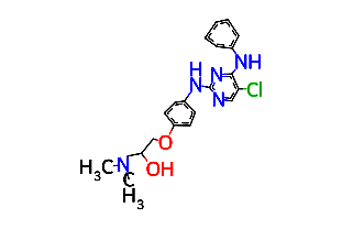 CN(C)CC(O)COc1ccc(Nc2ncc(Cl)c(Nc3ccccc3)n2)cc1